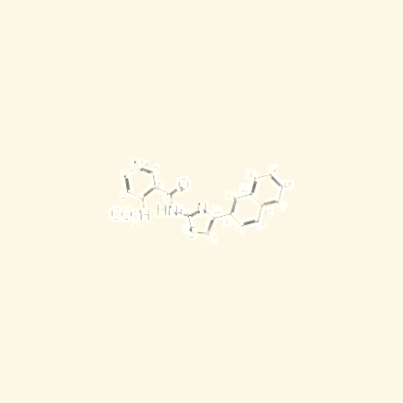 O=C(O)c1ccncc1C(=O)Nc1nc(-c2ccc3ccccc3c2)cs1